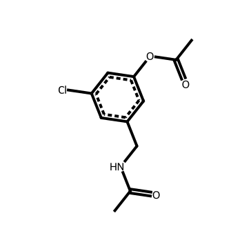 CC(=O)NCc1cc(Cl)cc(OC(C)=O)c1